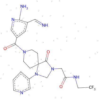 N=Cc1cc(C(=O)N2CCC3(CC2)C(=O)N(CC(=O)NCC(F)(F)F)CN3c2cccnc2)cnc1N